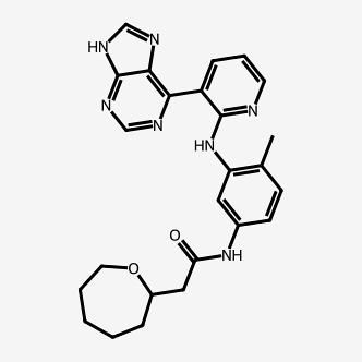 Cc1ccc(NC(=O)CC2CCCCCO2)cc1Nc1ncccc1-c1ncnc2[nH]cnc12